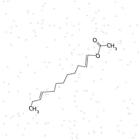 CCC=CCCCCCCC=COC(C)=O